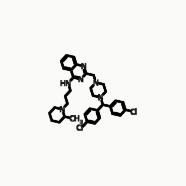 CC1CCCCN1CCCNc1nc(CN2CCN(C(c3ccc(Cl)cc3)c3ccc(Cl)cc3)CC2)nc2ccccc12